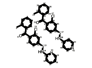 Cc1ccccc1C(=O)c1ccc(SNc2ccccn2)cc1Cl.Cc1ccccc1C(=O)c1ccc(SNc2ccncc2)cc1Cl